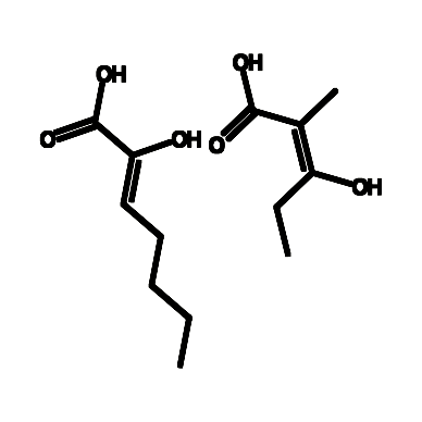 CC/C(O)=C(/C)C(=O)O.CCCC/C=C(\O)C(=O)O